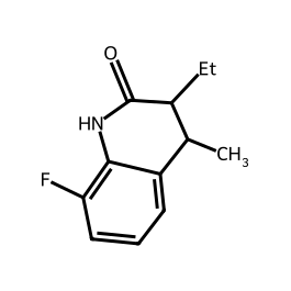 CCC1C(=O)Nc2c(F)cccc2C1C